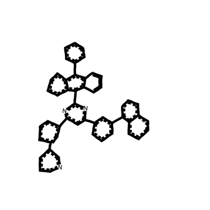 C1=C=Cc2c(c(-c3ccccc3)c3ccccc3c2-c2nc(-c3cccc(-c4cccnc4)c3)cc(-c3cccc(-c4cccc5ccccc45)c3)n2)C=1